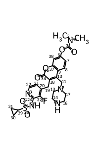 CN(C)C(=O)Oc1ccc2c(CN3CCNCC3)c(Cc3ccnc(NS(=O)(=O)C4CC4)c3F)c(=O)oc2c1